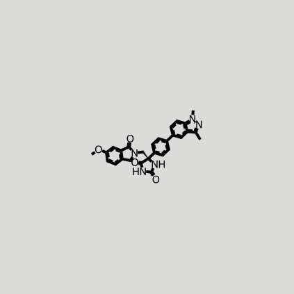 COc1ccc2c(c1)C(=O)N(C[C@@]1(c3ccc(-c4ccc5c(c4)c(C)nn5C)cc3)NC(=O)NC1=O)C2